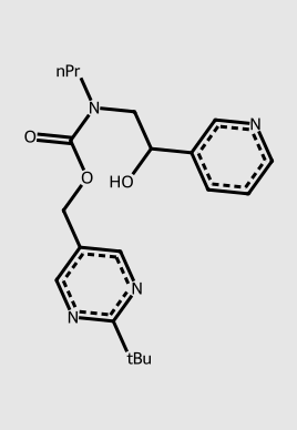 CCCN(CC(O)c1cccnc1)C(=O)OCc1cnc(C(C)(C)C)nc1